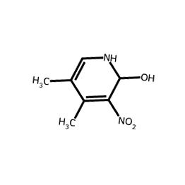 CC1=CNC(O)C([N+](=O)[O-])=C1C